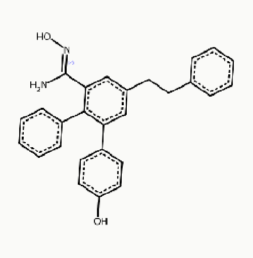 N/C(=N\O)c1cc(CCc2ccccc2)cc(-c2ccc(O)cc2)c1-c1ccccc1